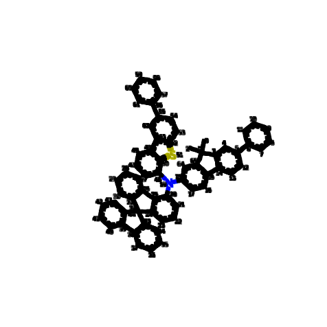 CC1(C)c2cc(-c3ccccc3)ccc2-c2ccc(N(c3cccc4c3-c3ccccc3C43c4ccccc4-c4ccccc43)c3cccc4c3sc3ccc(-c5ccccc5)cc34)cc21